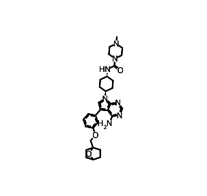 CN1CCN(C(=O)N[C@H]2CC[C@H](n3cc(-c4cccc(OCC56CCC(CC5)O6)c4)c4c(N)ncnc43)CC2)CC1